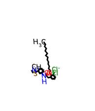 CCCCCCCCCCCCCCOc1c(Cl)cccc1CC(=O)Nc1cccc(-c2scc[n+]2C)c1.[Cl-]